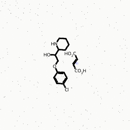 O=C(O)/C=C/C(=O)O.OC(COc1ccc(Cl)cc1)C1CCCCN1